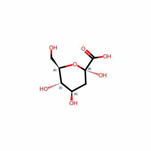 O=C(O)[C@@]1(O)C[C@@H](O)[C@H](O)[C@@H](CO)O1